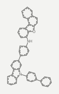 c1ccc(-c2ccc(-n3c4ccccc4c4ccc(-c5ccc(Nc6cccc7c6oc6ccc8ccccc8c67)cc5)cc43)cc2)cc1